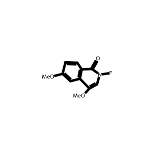 COc1ccc2c(=O)n(F)cc(OC)c2c1